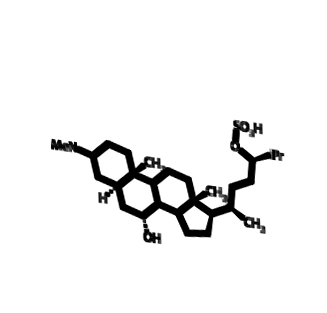 CNC1CC[C@]2(C)C3CC[C@@]4(C)C(CC[C@@H]4[C@H](C)CC[C@@H](OS(=O)(=O)O)C(C)C)C3[C@H](O)C[C@H]2C1